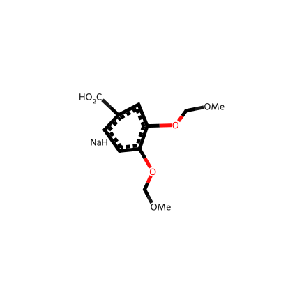 COCOc1ccc(C(=O)O)cc1OCOC.[NaH]